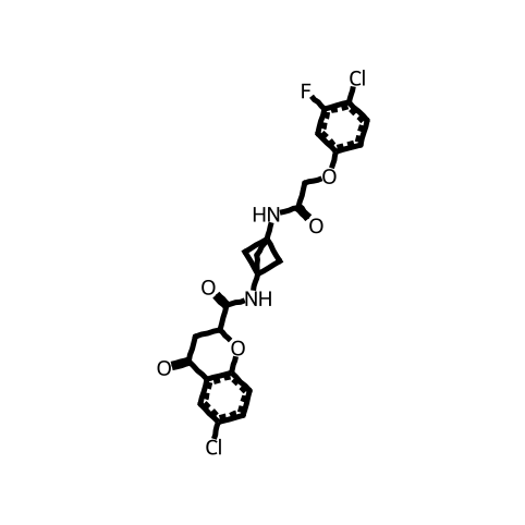 O=C(COc1ccc(Cl)c(F)c1)NC12CC(NC(=O)C3CC(=O)c4cc(Cl)ccc4O3)(C1)C2